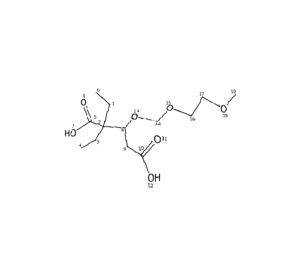 CCC(CC)(C(=O)O)C(CC(=O)O)OCOCCOC